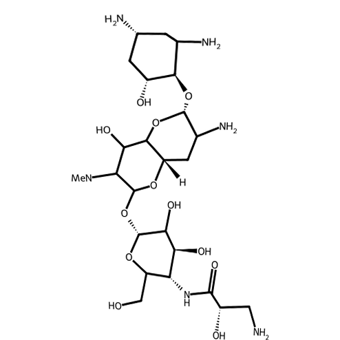 CNC1C(O[C@H]2OC(CO)[C@@H](NC(=O)[C@@H](O)CN)[C@H](O)C2O)O[C@H]2CC(N)[C@@H](O[C@@H]3C(N)C[C@@H](N)C[C@H]3O)OC2C1O